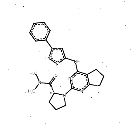 CN(C)C(=O)[C@@H]1CCCN1c1nc2c(c(Nc3cc(-c4ccccc4)[nH]n3)n1)CCC2